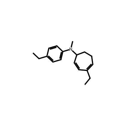 CCC1=CCCC(N(C)c2ccc(CC)cc2)C=C1